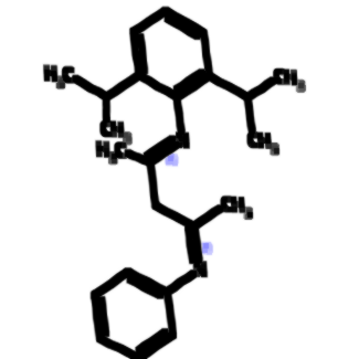 C/C(C/C(C)=N/c1c(C(C)C)cccc1C(C)C)=N/c1ccccc1